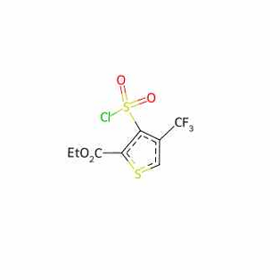 CCOC(=O)c1scc(C(F)(F)F)c1S(=O)(=O)Cl